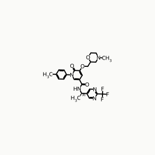 Cc1ccc(-n2cc(C(=O)N[C@H](C)c3cnc(C(F)(F)F)nc3)cc(OCC3CN(C)CCO3)c2=O)cc1